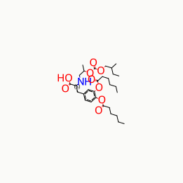 CCCCCC(=O)Oc1ccc(C[C@H](NCC(C)OC(=O)OCC(C)CC)C(=O)O)cc1OC(=O)CCCCC